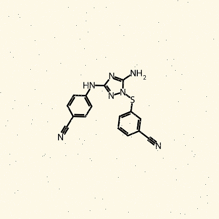 N#Cc1ccc(Nc2nc(N)n(Sc3cccc(C#N)c3)n2)cc1